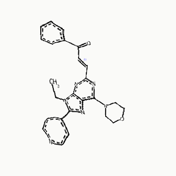 CCn1c(-c2ccncc2)nc2c(N3CCOCC3)nc(/C=C/C(=O)c3ccccc3)nc21